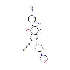 CC1(C)c2cc(N3CCC(N4CCOCC4)CC3)c(C#CS)cc2C(=O)c2c1[nH]c1cc(C#N)ccc21